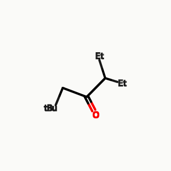 CCC(CC)C(=O)CC(C)(C)C